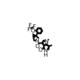 Cc1c[nH]c(=O)c2c(C(=O)N3CC4CC4(c4ccccc4OC(F)(F)F)C3)cn(C)c12